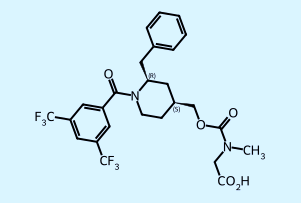 CN(CC(=O)O)C(=O)OC[C@H]1CCN(C(=O)c2cc(C(F)(F)F)cc(C(F)(F)F)c2)[C@@H](Cc2ccccc2)C1